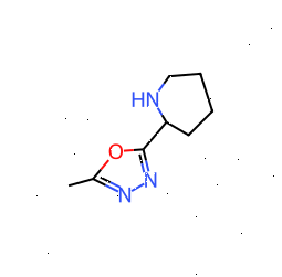 Cc1nnc(C2CCCCN2)o1